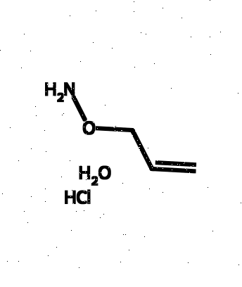 C=CCON.Cl.O